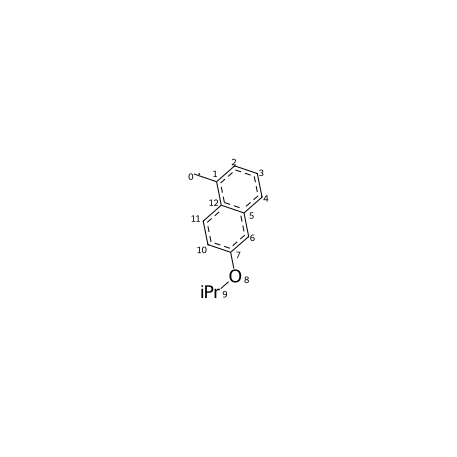 [CH2]c1cccc2cc(OC(C)C)ccc12